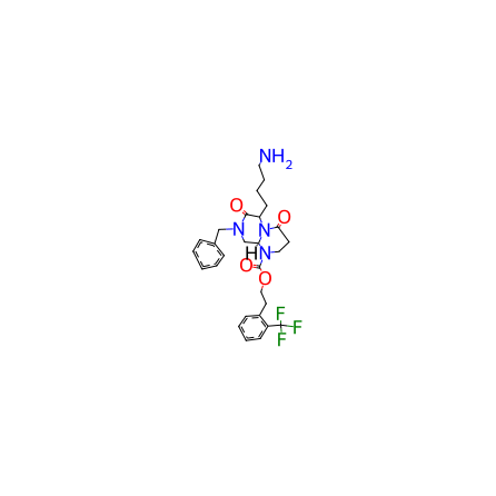 NCCCCC1C(=O)N(Cc2ccccc2)C[C@@H]2N(C(=O)OCCc3ccccc3C(F)(F)F)CCC(=O)N12